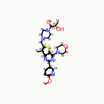 COc1ccc(-c2nc(N3CCOCC3)c3sc(CN4CCN(C(=O)C(C)O)CC4)c(C)c3n2)cn1